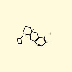 Oc1ccc2c(c1O)C[C@H]1CCCN(C3CCC3)[C@@H]1C2